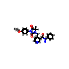 CC1(C)C(=O)N(c2ccc(OC(F)(F)F)cc2)C(=O)N1Cc1ccncc1C(=O)Nc1ccccc1